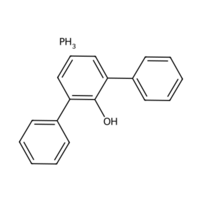 Oc1c(-c2ccccc2)cccc1-c1ccccc1.P